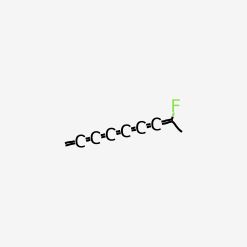 C=C=C=C=C=C=C=C(C)F